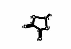 CB1OC(=O)C(=O)O1